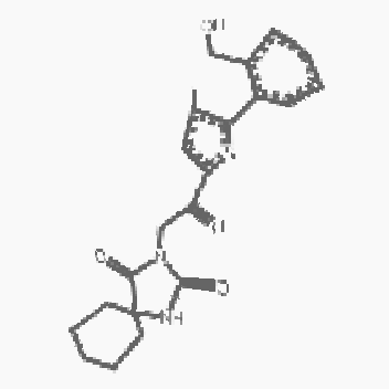 Cc1cc(C(=O)CN2C(=O)NC3(CCCCC3)C2=O)sc1-c1ccccc1CO